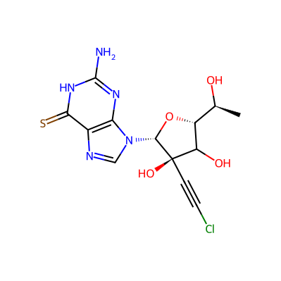 C[C@H](O)[C@H]1O[C@@H](n2cnc3c(=S)[nH]c(N)nc32)[C@@](O)(C#CCl)C1O